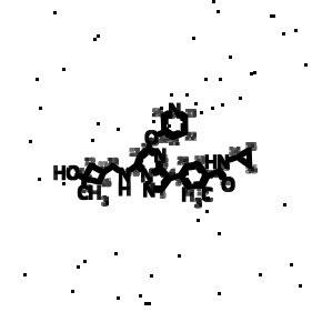 Cc1cc(-c2cnn3c(NCC4CC(C)(O)C4)cc(Oc4cccnc4)nc23)ccc1C(=O)NC1CC1